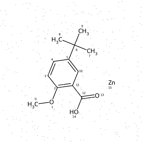 COc1ccc(C(C)(C)C)cc1C(=O)O.[Zn]